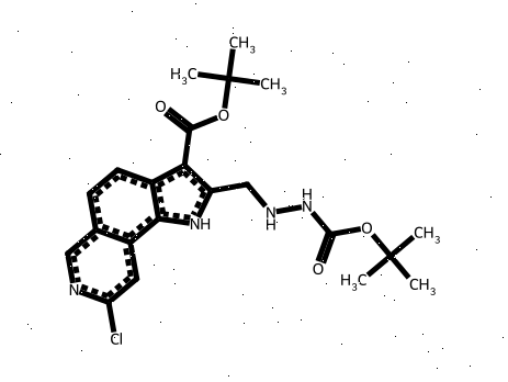 CC(C)(C)OC(=O)NNCc1[nH]c2c(ccc3cnc(Cl)cc32)c1C(=O)OC(C)(C)C